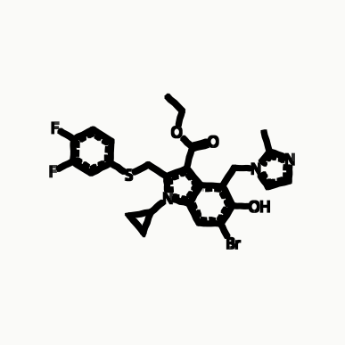 CCOC(=O)c1c(CSc2ccc(F)c(F)c2)n(C2CC2)c2cc(Br)c(O)c(Cn3ccnc3C)c12